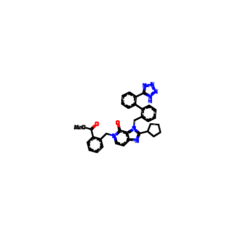 COC(=O)c1ccccc1Cn1ccc2nc(C3CCCC3)n(Cc3ccccc3-c3ccccc3-c3nnn[nH]3)c2c1=O